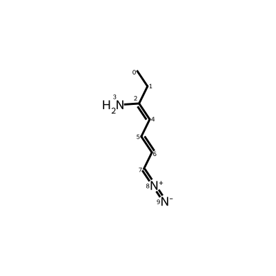 CCC(N)=CC=CC=[N+]=[N-]